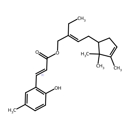 CCC(=CCC1CC=C(C)C1(C)C)COC(=O)/C=C/c1cc(C)ccc1O